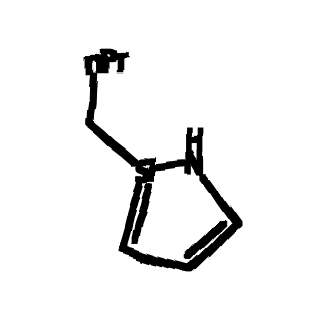 CCCC[si]1ccc[nH]1